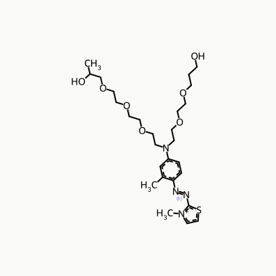 Cc1cc(N(CCOCCOCCCO)CCOCCOCCOCC(C)O)ccc1/N=N/c1scc[n+]1C